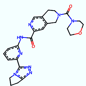 O=C(Nc1cccc(-c2nnc3n2CCC3)n1)c1cc2c(cn1)CCN(C(=O)N1CCOCC1)C2